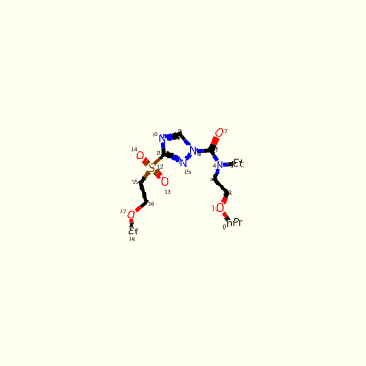 CCCOCCN(CC)C(=O)n1cnc(S(=O)(=O)CCOCC)n1